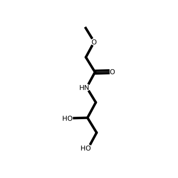 COCC(=O)NCC(O)CO